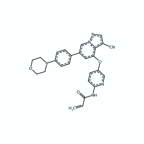 C=CC(=O)Nc1ccc(Oc2cc(-c3ccc(N4CCOCC4)cc3)cn3ncc(C#N)c23)cn1